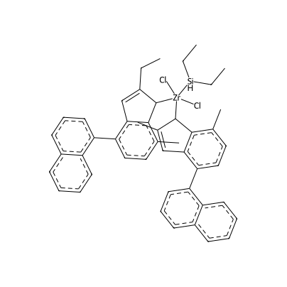 CCC1=Cc2c(-c3cccc4ccccc34)ccc(C)c2[CH]1[Zr]([Cl])([Cl])([CH]1C(C)=Cc2c(-c3cccc4ccccc34)ccc(C)c21)[SiH](CC)CC